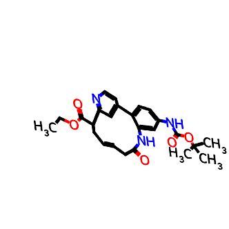 CCOC(=O)C1C/C=C/CC(=O)Nc2cc(NC(=O)OC(C)(C)C)ccc2-c2ccnc1c2